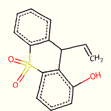 C=CC1c2ccccc2S(=O)(=O)c2cccc(O)c21